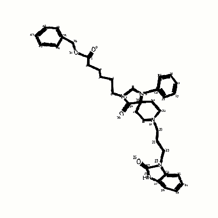 O=C(CCCCCN1CN(c2ccccc2)C2(CCN(CCCn3c(=O)[nH]c4ccccc43)CC2)C1=O)OCc1ccccc1